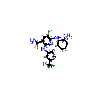 NC(=O)c1cc(F)c(N[C@@H]2CCCC[C@@H]2N)nc1Nc1cncc(C(F)(F)F)c1